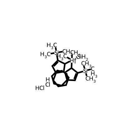 C[Si](C)(C)C1=CC2=C(CCCC2)[CH]1[Hf]([CH3])([CH3])(=[SiH2])[CH]1C([Si](C)(C)C)=CC2=C1CCCC2.Cl.Cl